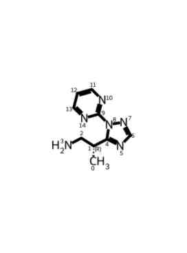 C[C@H](CN)c1ncnn1-c1ncccn1